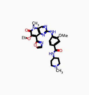 CCOc1c(-c2ncco2)c2nc(Nc3ccc(C(=O)NC4CCN(C)CC4)cc3OC)ncc2n(C)c1=O